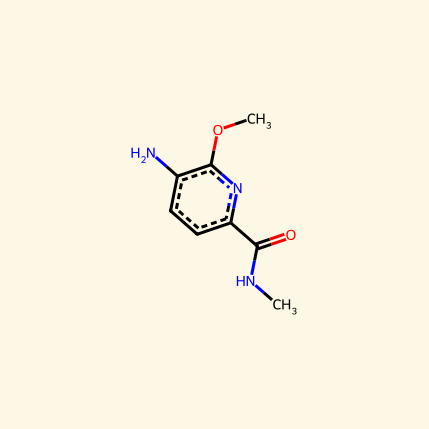 CNC(=O)c1ccc(N)c(OC)n1